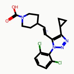 O=C(O)N1CCC(/C=C/c2c(C3CC3)nnn2-c2c(Cl)cccc2Cl)CC1